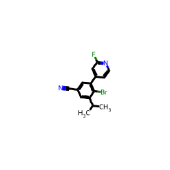 CC(C)c1cc(C#N)cc(-c2ccnc(F)c2)c1Br